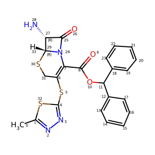 Cc1nnc(SC2=C(C(=O)OC(c3ccccc3)c3ccccc3)N3C(=O)[C@@H](N)[C@H]3SC2)s1